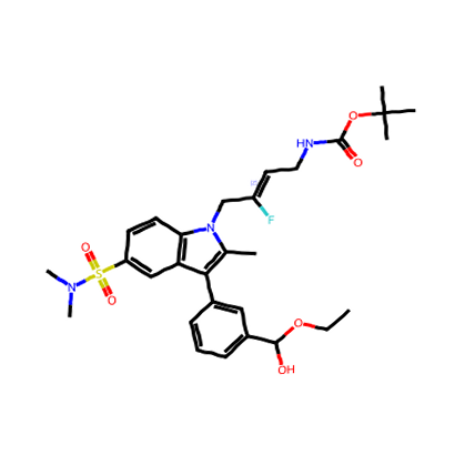 CCOC(O)c1cccc(-c2c(C)n(C/C(F)=C/CNC(=O)OC(C)(C)C)c3ccc(S(=O)(=O)N(C)C)cc23)c1